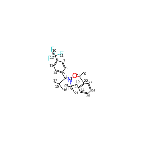 CC(ON(C(c1ccc(C(F)(F)F)cc1)C(C)C)C(C)(C)C)c1ccccc1